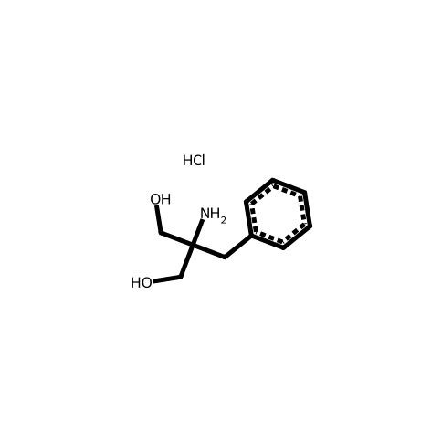 Cl.NC(CO)(CO)Cc1ccccc1